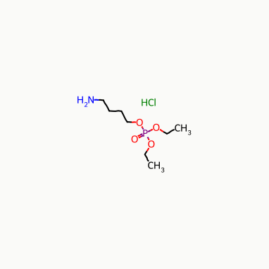 CCOP(=O)(OCC)OCCCCN.Cl